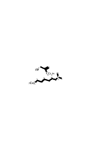 Br.C=C(C)C(=O)O.CCCCCCCCCCCCCCCCN(C)C